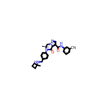 C[C@H]1Cn2ncc(C(=O)Nc3cccc(C#N)c3)c2C(=O)N1c1ccc(CNC2(C)CCC2)cc1